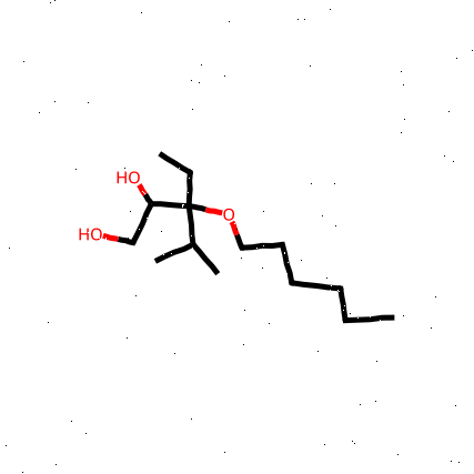 CCCCCCOC(CC)(C(C)C)C(O)CO